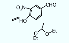 C=C.CCOC(C)OCC.O=Cc1ccc(O)c([N+](=O)[O-])c1